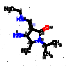 CCN/C=C1\C(=N)C(C)N(C(C)C)C1=O